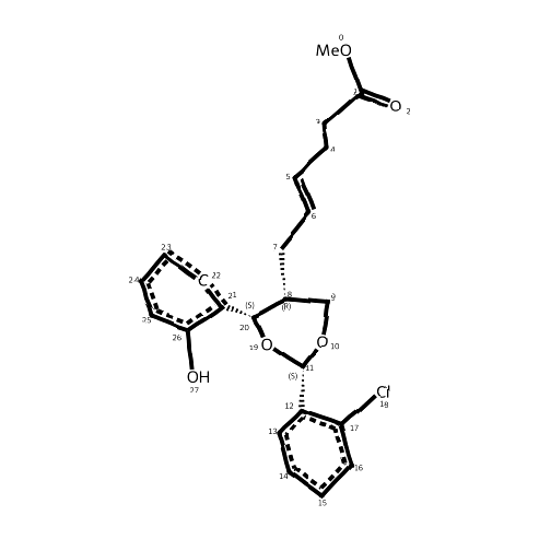 COC(=O)CCC=CC[C@@H]1CO[C@H](c2ccccc2Cl)O[C@@H]1c1ccccc1O